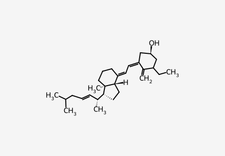 C=C1/C(=C\C=C2/CCC[C@]3(C)[C@@H]([C@H](C)/C=C/CC(C)C)CC[C@@H]23)C[C@@H](O)CC1CC